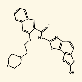 O=C(Nc1nc2ccc3sc(O)nc3c2s1)c1cc2ccccc2cc1OCCN1CCOCC1